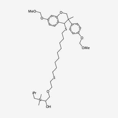 COCOc1ccc(C2(C)COc3cc(OCOC)ccc3C2SCCCCCCCCCSCCOCC(O)[Si](C)(C)CC(C)C)cc1